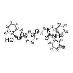 Cc1cccc(CO[C@@H]2CCC[C@H](OCCN(Cc3ccccc3)C(=O)Nc3cccc(F)c3)C2)c1C(=O)O